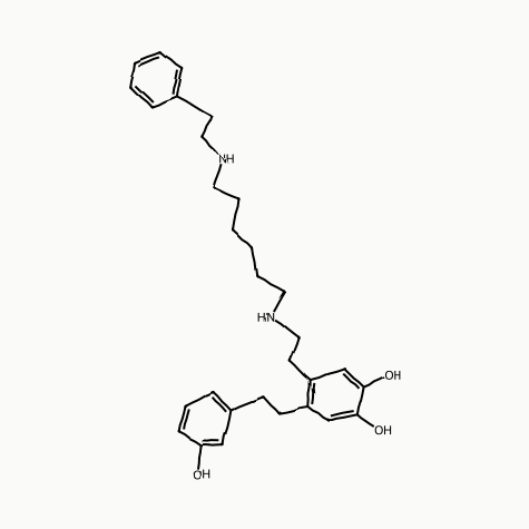 Oc1cccc(CCc2cc(O)c(O)cc2CCNCCCCCCNCCc2ccccc2)c1